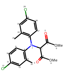 COC(=O)C(C(=O)OC)N(c1ccc(Cl)cc1C)c1ccc(Cl)cc1C